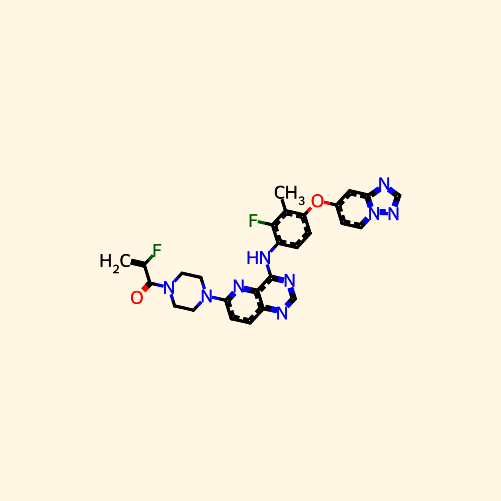 C=C(F)C(=O)N1CCN(c2ccc3ncnc(Nc4ccc(Oc5ccn6ncnc6c5)c(C)c4F)c3n2)CC1